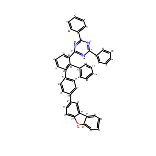 c1ccc(-c2nc(-c3ccccc3)nc(-c3cccc(-c4ccc(-c5ccc6oc7ccccc7c6c5)cc4)c3-c3ccccc3)n2)cc1